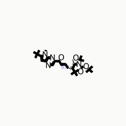 Cn1c(C(C)(C)C)cc2ncc(C(=O)/C=C/C[C@H]([C@@H]3COC(C)(C)N3C(=O)OC(C)(C)C)C(C)(C)C)nc21